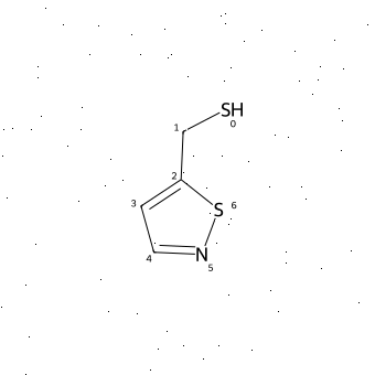 SCc1ccns1